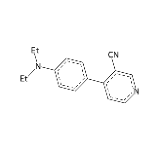 CCN(CC)c1ccc(-c2ccncc2C#N)cc1